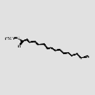 CCCCCCCCCOC(=O)CCCCCCCCCCCCCCC(C)C